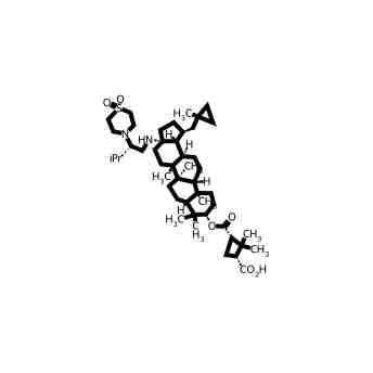 CC(C)[C@@H](CN[C@]12CC[C@@H](CC3(C)CC3)[C@@H]1[C@H]1CC[C@@H]3[C@@]4(C)CC[C@H](OC(=O)[C@H]5C[C@@H](C(=O)O)C5(C)C)C(C)(C)[C@@H]4CC[C@@]3(C)[C@]1(C)CC2)N1CCS(=O)(=O)CC1